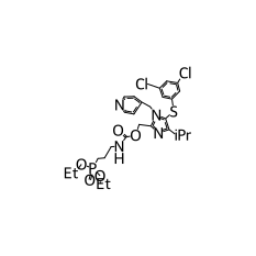 CCOP(=O)(CCCNC(=O)OCc1nc(C(C)C)c(Sc2cc(Cl)cc(Cl)c2)n1Cc1ccncc1)OCC